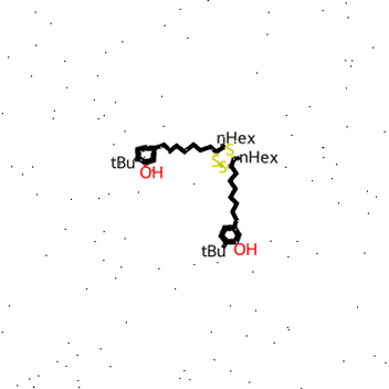 CCCCCCC1SC(CCCCCC)C(CCCCCCCc2ccc(C(C)(C)C)c(O)c2)SSC1CCCCCCCc1ccc(C(C)(C)C)c(O)c1